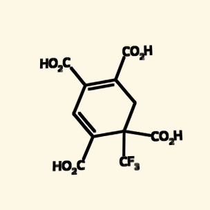 O=C(O)C1=CC(C(=O)O)=C(C(=O)O)CC1(C(=O)O)C(F)(F)F